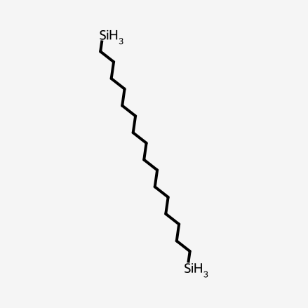 [SiH3]CCCCCCCCCCCCCCCC[SiH3]